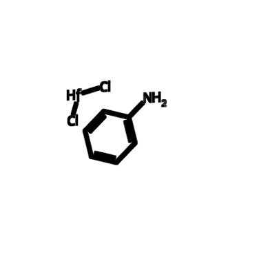 Nc1ccccc1.[Cl][Hf][Cl]